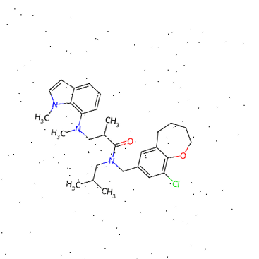 CC(C)CN(Cc1cc(Cl)c2c(c1)CCCCO2)C(=O)C(C)CN(C)c1cccc2ccn(C)c12